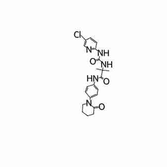 CC(C)(NC(=O)Nc1ccc(Cl)cn1)C(=O)Nc1ccc(N2CCCCC2=O)cc1